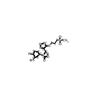 CS(=O)(=O)CCCSc1nonc1-c1noc(=O)n1-c1ccc(F)c(Br)c1